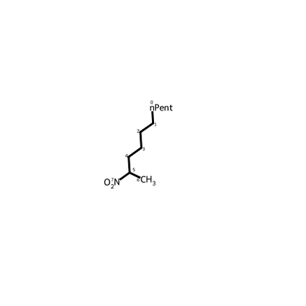 CCCCCCCCCC(C)[N+](=O)[O-]